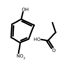 CCC(=O)O.O=[N+]([O-])c1ccc(O)cc1